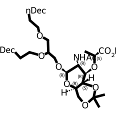 CCCCCCCCCCCCOCC(CO[C@@H]1O[C@@H]2COC(C)(C)O[C@H]2[C@H](O[C@@H](C)C(=O)O)[C@H]1NC(C)=O)OCCCCCCCCCCCC